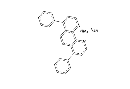 [NaH].[NaH].c1ccc(-c2ccnc3c2ccc2c(-c4ccccc4)ccnc23)cc1